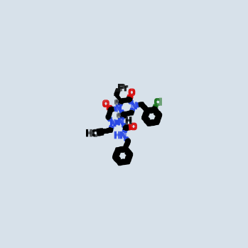 C#CCN1CC(=O)N2[C@@H](CC(C)C)C(=O)N(Cc3ccccc3Cl)C[C@@H]2N1C(=O)NCc1ccccc1